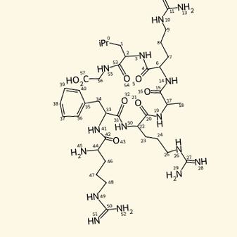 CC(C)CC(NC(=O)C(CCCNC(=N)N)NC(=O)C(C)NC(=O)C(CCCNC(=N)N)NC(=O)C(Cc1ccccc1)NC(=O)C(N)CCCNC(=N)N)C(=O)NCC(=O)O